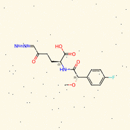 CO[C@H](C(=O)N[C@@H](CCC(=O)C=[N+]=[N-])C(=O)O)c1ccc(F)cc1